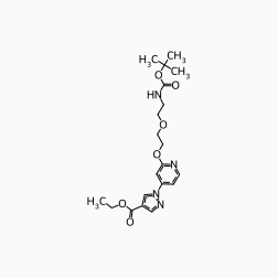 CCOC(=O)c1cnn(-c2ccnc(OCCOCCNC(=O)OC(C)(C)C)c2)c1